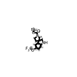 CC(C)(C)OC(=O)N1CCC2(CNc3ccc(OC(F)(F)F)cc32)C1